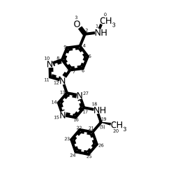 CNC(=O)c1ccc2c(c1)ncn2-c1cncc(N[C@@H](C)c2ccccc2)n1